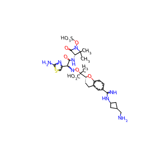 CC1(C)[C@H](NC(=O)/C(=N\O[C@](C)(C(=O)O)[C@H]2CCc3cc(C(=N)NC4CC(CN)C4)ccc3O2)c2csc(N)n2)C(=O)N1OS(=O)(=O)O